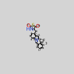 O=C1NC(Cc2cccc3c2ccn3Cc2ccccc2C(F)(F)F)C(=O)S1